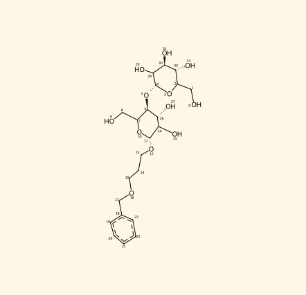 OCC1O[C@H](O[C@@H]2C(CO)O[C@@H](OCCCOCc3ccccc3)C(O)[C@H]2O)C(O)[C@@H](O)[C@@H]1O